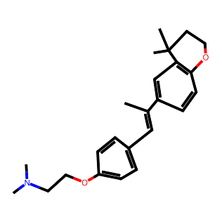 CC(=Cc1ccc(OCCN(C)C)cc1)c1ccc2c(c1)C(C)(C)CCO2